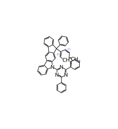 C=C/C=C\C(=C/C)C1(c2ccccc2)c2ccccc2-c2cc3c4ccccc4n(-c4nc(-c5ccccc5)nc(-c5ccccc5)n4)c3cc21